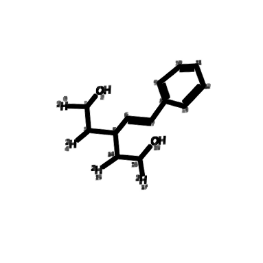 [2H]C(O)C([2H])C(/C=C/c1ccccc1)C([2H])C([2H])O